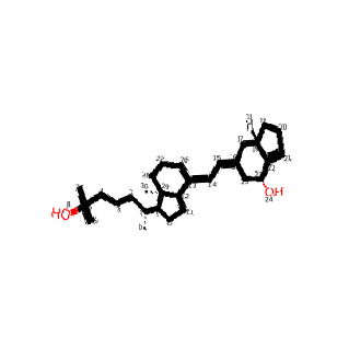 C[C@H](CCCC(C)(C)O)C1CCC2/C(=C/C=C3/C[C@@H]4CCC=C4[C@H](O)C3)CCC[C@@]21C